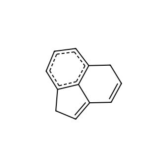 C1=CC2=CCc3cccc(c32)C1